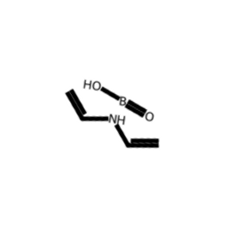 C=CNC=C.O=BO